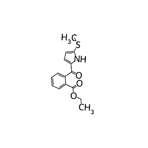 CCOC(=O)c1ccccc1C(=O)c1ccc(SC)[nH]1